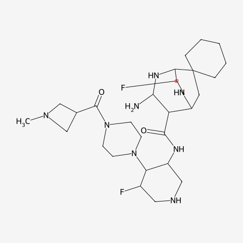 CN1CC(C(=O)N2CCN(C3C(F)CNCC3NC(=O)C3C(N)NC4CC(F)CNC3CC43CCCCC3)CC2)C1